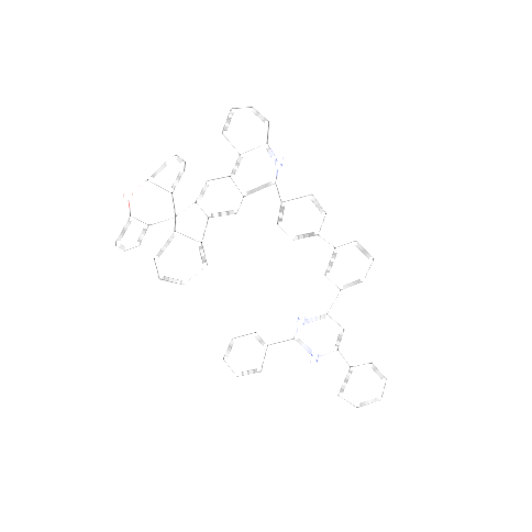 c1ccc(-c2cc(-c3cccc(-c4ccc(-c5nc6ccccc6c6cc7c(cc56)-c5ccccc5C75c6ccccc6Oc6ccccc65)cc4)c3)nc(-c3ccccc3)n2)cc1